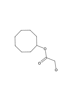 [O]CC(=O)OC1CCCCCCC1